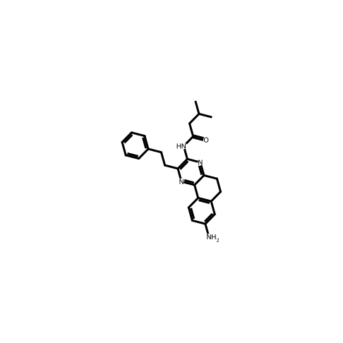 CC(C)CC(=O)Nc1nc2c(nc1CCc1ccccc1)-c1ccc(N)cc1CC2